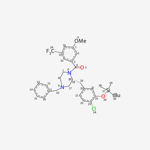 COc1cc(C(=O)N2CCN(Cc3ccccc3)C[C@H]2Cc2ccc(Cl)c(O[Si](C)(C)C(C)(C)C)c2)cc(C(F)(F)F)c1